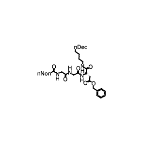 CCCCCCCCCCCCCCNC(=O)[C@H](CC(=O)OCc1ccccc1)NC(=O)CNC(=O)CNC(=O)CCCCCCCCC